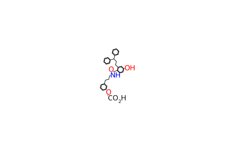 O=C(O)COc1cccc(CCCNC(=O)c2ccc(O)cc2CCC(c2ccccc2)c2ccccc2)c1